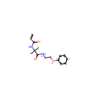 C=CC(=O)NC(C)(C)C(=O)NCCOc1ccccc1